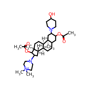 CC(=O)OC1CC2CC[C@@H]3[C@@H](CC[C@]4(C)C(OC(C)=O)C(N5CC[N+](C)(C)CC5)C[C@@H]34)[C@@]2(C)CC1N1CCC(O)CC1